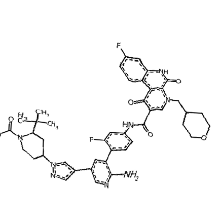 CC(C)(C)C1CC(n2cc(-c3cnc(N)c(-c4ccc(NC(=O)c5cn(CC6CCOCC6)c6c(=O)[nH]c7cc(F)ccc7c6c5=O)cc4F)c3)cn2)CCN1C(=O)O